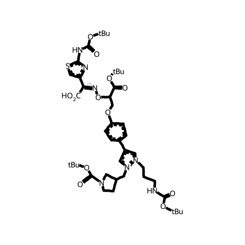 CC(C)(C)OC(=O)NCCCn1cc(-c2ccc(OCC(O/N=C(\C(=O)O)c3csc(NC(=O)OC(C)(C)C)n3)C(=O)OC(C)(C)C)cc2)c[n+]1CC1CCN(C(=O)OC(C)(C)C)C1